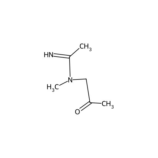 CC(=N)N(C)CC(C)=O